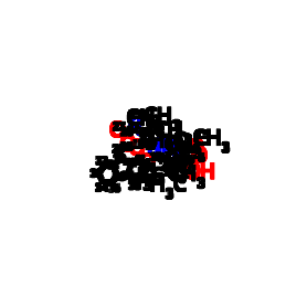 CC[C@H](C)[C@](C(=O)O)([C@@H](C)OC)N(C)[C@H](C(=O)NC(=O)[C@H](C(C)C)N(C)C(=O)OCC1c2ccccc2-c2ccccc21)C(C)C